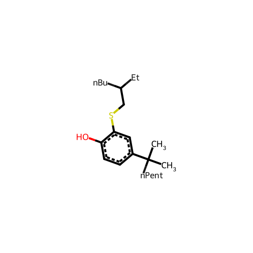 CCCCCC(C)(C)c1ccc(O)c(SCC(CC)CCCC)c1